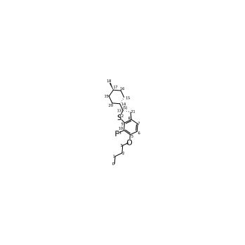 CCCCOc1ccc2c(c1F)S[C@H]([C@H]1CC[C@H](C)CC1)C2